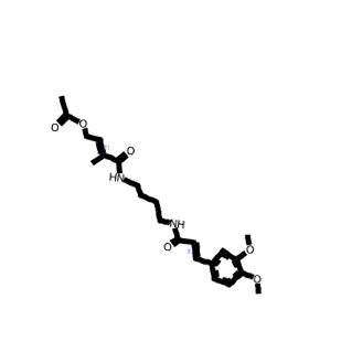 COc1ccc(/C=C/C(=O)NCCCCNC(=O)/C(C)=C/COC(C)=O)cc1OC